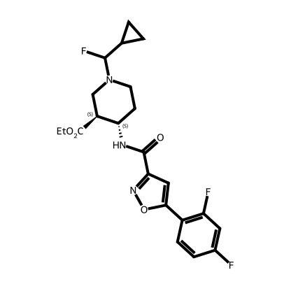 CCOC(=O)[C@H]1CN(C(F)C2CC2)CC[C@@H]1NC(=O)c1cc(-c2ccc(F)cc2F)on1